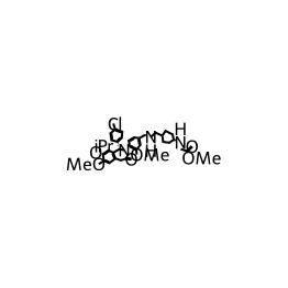 COC(=O)CNC1CCC(CNCc2ccc(N3C(=O)Cc4cc(OC)c(OC(C)C)cc4[C@@H]3c3ccc(Cl)cc3)c(OC)c2)CC1